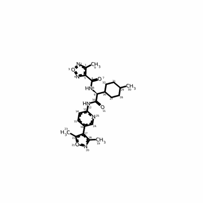 Cc1nonc1C(=O)N[C@H](C(=O)Nc1ccc(-c2c(C)noc2C)cn1)C1CCC(C)CC1